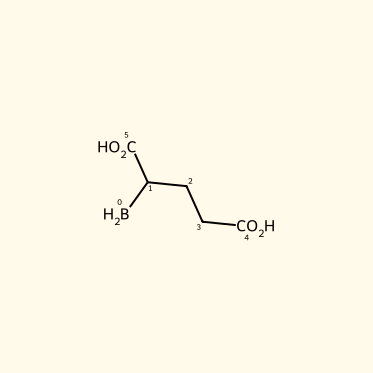 BC(CCC(=O)O)C(=O)O